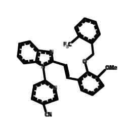 COc1cccc(C=Cc2nc3ccccc3n2-c2ccc(C#N)cn2)c1OCc1ccccc1C(F)(F)F